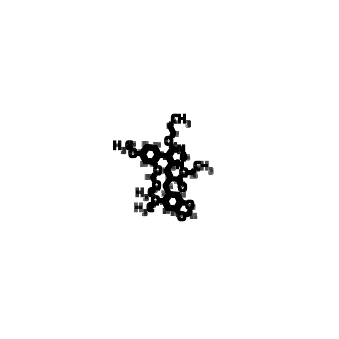 CCCOc1ncnc(C=C(Cc2cc3c(cc2OC)OCO3)C(=O)OCC)c1-c1ccc(OC)cc1OCOC